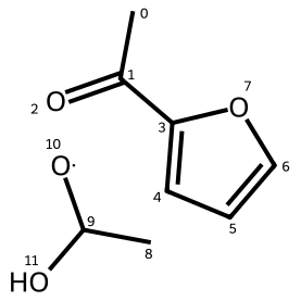 CC(=O)c1ccco1.CC([O])O